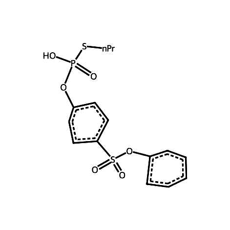 CCCSP(=O)(O)Oc1ccc(S(=O)(=O)Oc2ccccc2)cc1